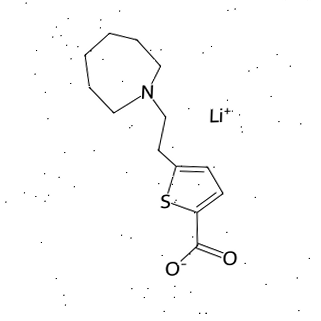 O=C([O-])c1ccc(CCN2CCCCCC2)s1.[Li+]